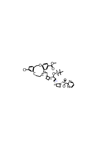 COC(=O)c1ccc2c(c1)N(C[C@@H]1CC[C@@H]1C(/C=C/[C@H]1CC[C@H]1CS(=O)(=O)c1ncccn1)O[Si](C)(C)C(C)(C)C)CCCCc1cc(Cl)ccc1CO2